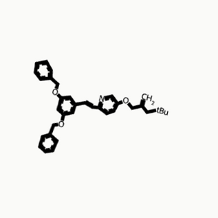 C=C(COc1ccc(/C=C/c2cc(OCc3ccccc3)cc(OCc3ccccc3)c2)nc1)CC(C)(C)C